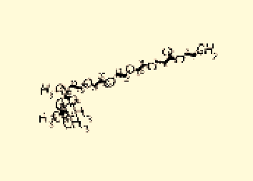 C=CCOC(=O)CCOCCOCCOCCOCCN(C)C(=O)OC(C)(C)C